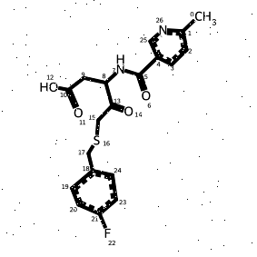 Cc1ccc(C(=O)NC(CC(=O)O)C(=O)CSCc2ccc(F)cc2)cn1